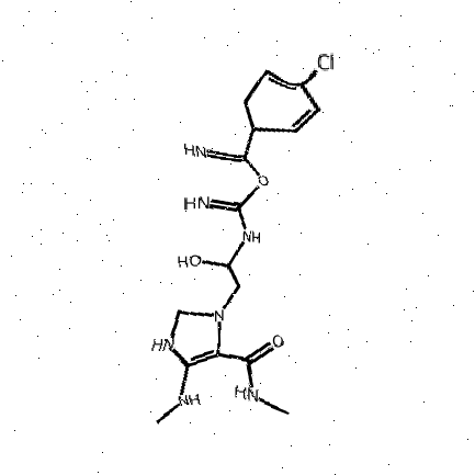 CNC(=O)C1=C(NC)NCN1CC(O)NC(=N)OC(=N)C1C=CC(Cl)=CC1